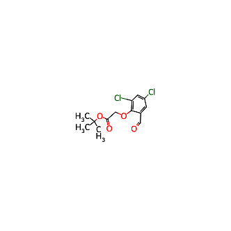 CC(C)(C)OC(=O)COc1c(Cl)cc(Cl)cc1C=O